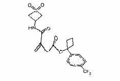 C=C(CC(=O)OC1(c2ccc(C(F)(F)F)cc2)CCC1)C(=O)NC1CS(=O)(=O)C1